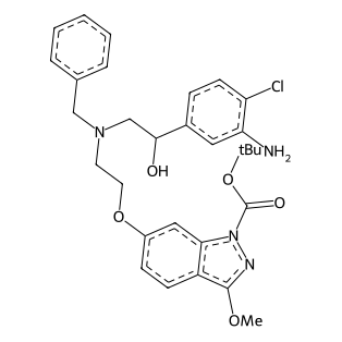 COc1nn(C(=O)OC(C)(C)C)c2cc(OCCN(Cc3ccccc3)CC(O)c3ccc(Cl)c(N)c3)ccc12